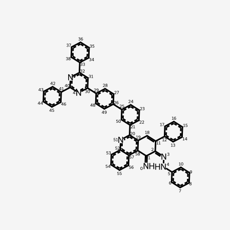 N=C1/C(=N\Nc2ccccc2)C(c2ccccc2)=Cc2c(-c3cccc(-c4ccc(-c5cc(-c6ccccc6)nc(-c6ccccc6)n5)cc4)c3)nc3ccccc3c21